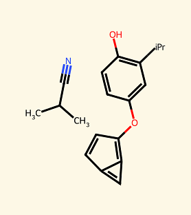 CC(C)C#N.CC(C)c1cc(Oc2ccc3cc2-3)ccc1O